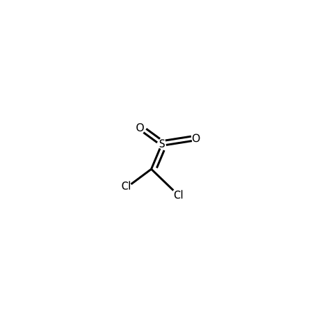 O=S(=O)=C(Cl)Cl